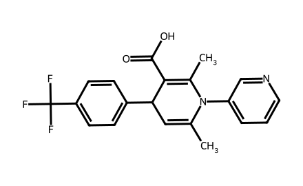 CC1=CC(c2ccc(C(F)(F)F)cc2)C(C(=O)O)=C(C)N1c1cccnc1